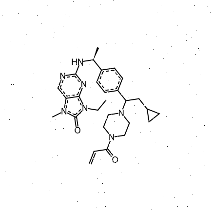 C=CC(=O)N1CCN(C(CC2CC2)c2ccc([C@H](C)Nc3ncc4c(n3)n(CC)c(=O)n4C)cc2)CC1